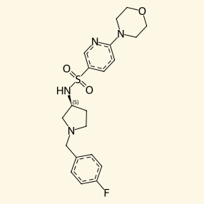 O=S(=O)(N[C@H]1CCN(Cc2ccc(F)cc2)C1)c1ccc(N2CCOCC2)nc1